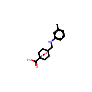 Cc1cccc(NCC23CCC(C(=O)O)(CC2)CO3)c1